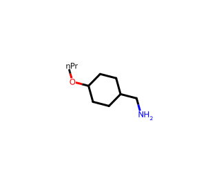 CCCOC1CCC(CN)CC1